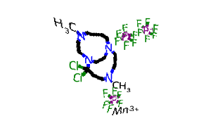 CN1CCCN2CCN(C)CCC(Cl)(Cl)N(CC1)CC2.F[P-](F)(F)(F)(F)F.F[P-](F)(F)(F)(F)F.F[P-](F)(F)(F)(F)F.[Mn+3]